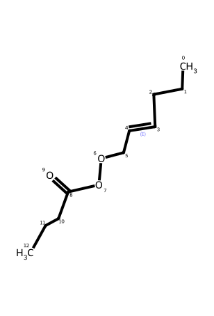 CCC/C=C/COOC(=O)CCC